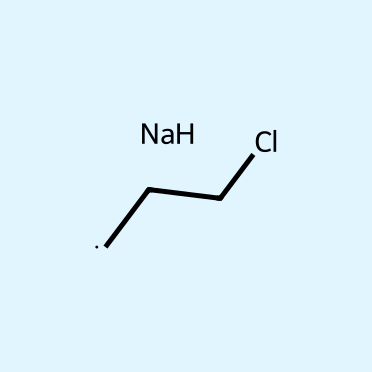 [CH2]CCCl.[NaH]